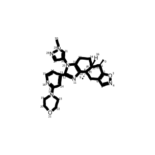 C[C@H]1c2oncc2C[C@@]2(C)c3nc(-c4ccnc(N5CCOCC5)c4)n(-c4cnn(C)c4)c3CC[C@H]12